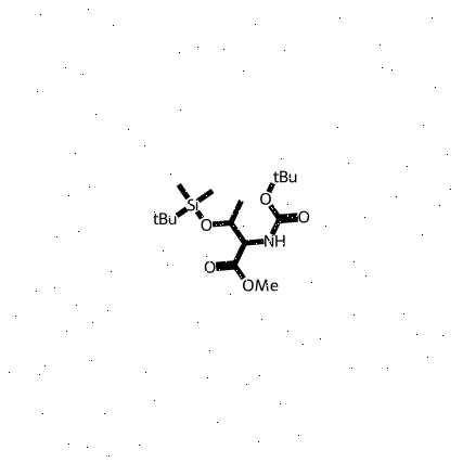 COC(=O)C(NC(=O)OC(C)(C)C)C(C)O[Si](C)(C)C(C)(C)C